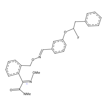 CNC(=O)/C(=N/OC)c1ccccc1CON=Cc1cccc(OC(F)Cc2ccccc2)c1